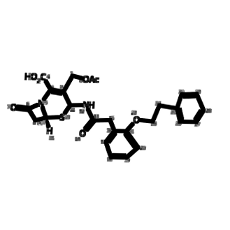 CC(=O)OCC1=C(C(=O)O)N2C(=O)C[C@H]2SC1NC(=O)Cc1ccccc1OCCc1ccccc1